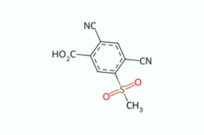 CS(=O)(=O)c1cc(C(=O)O)c(C#N)cc1C#N